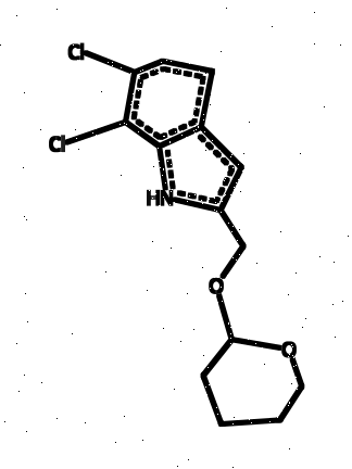 Clc1ccc2cc(COC3CCCCO3)[nH]c2c1Cl